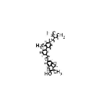 CCC(CC)COc1ccc(-c2cccc(COc3ccc4c(c3)OCC4C(C)C(=O)O)c2)c(C)c1